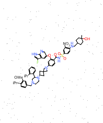 COc1cc(CN2CCN(C3CC4(C3)CN(c3ccc(C(=O)NS(=O)(=O)c5ccc(NCC6CCC(C)(O)CC6)c([N+](=O)[O-])c5)c(Oc5cnc6[nH]cc(F)c6c5)c3)C4)C(c3ccccc3C(C)C)C2)ccc1C(C)C